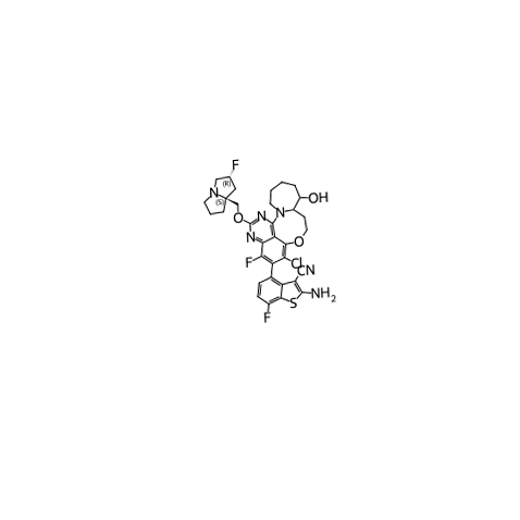 N#Cc1c(N)sc2c(F)ccc(-c3c(Cl)c4c5c(nc(OC[C@@]67CCCN6C[C@H](F)C7)nc5c3F)N3CCCCC(O)C3CCO4)c12